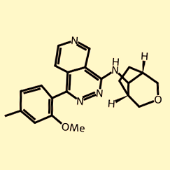 COc1cc(C)ccc1-c1nnc(NC2[C@@H]3CC[C@H]2COC3)c2cnccc12